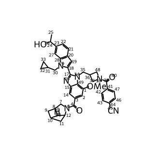 COc1cc(C(=O)N2CC3CC4CC2[C@H]43)cc2nc(-c3cc4ccc(C(C)O)cc4n3CC3CC3)n(CC3CN(C(=O)c4ccc(C#N)cc4)C3)c12